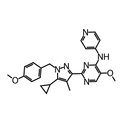 COc1ccc(Cn2nc(-c3ncc(OC)c(Nc4ccncc4)n3)c(C)c2C2CC2)cc1